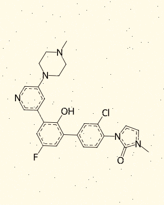 CN1CCN(c2cncc(-c3cc(F)cc(-c4ccc(-n5ccn(C)c5=O)c(Cl)c4)c3O)c2)CC1